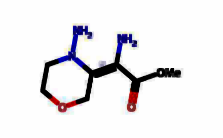 COC(=O)/C(N)=C1\COCCN1N